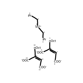 CC(C)[CH2][Sn+4][CH2]C(C)C.CCCCCCCC/C(=C/C(=O)[O-])C(=O)[O-].CCCCCCCC/C(=C/C(=O)[O-])C(=O)[O-]